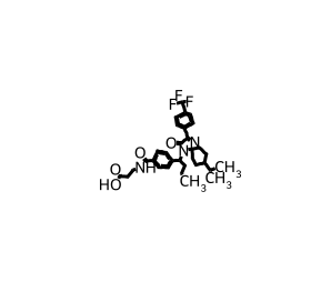 CCCC(c1ccc(C(=O)NCCC(=O)O)cc1)N1C(=O)C(c2ccc(C(F)(F)F)cc2)=NC12CCC(C(C)C)CC2